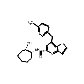 O=C(N[C@@H]1CCCCC[C@H]1O)c1cc(Cc2ccc(C(F)(F)F)nc2)c2sccc2n1